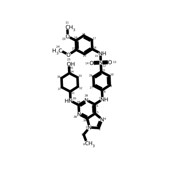 CCn1cnc2c(Nc3ccc(S(=O)(=O)Nc4ccc(OC)c(OC)c4)cc3)nc(NC3CCC(O)CC3)nc21